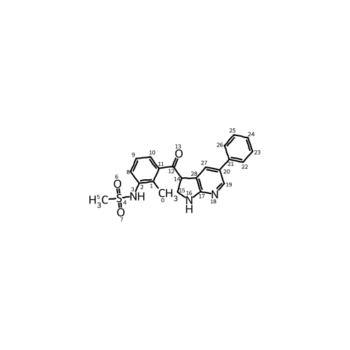 Cc1c(NS(C)(=O)=O)cccc1C(=O)C1CNc2ncc(-c3ccccc3)cc21